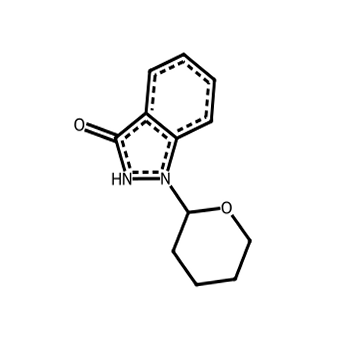 O=c1[nH]n(C2CCCCO2)c2ccccc12